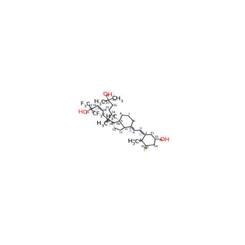 C=C1/C(=C\C=C2/CCC[C@@]3(C)C2CC[C@@H]3[C@](C)(C/C=C\C(O)(C(F)(F)F)C(F)(F)F)CCCC(C)(C)O)CC(O)C[C@@H]1F